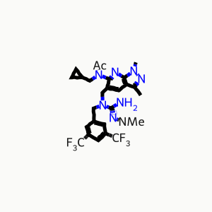 CN/N=C(\N)N(Cc1cc(C(F)(F)F)cc(C(F)(F)F)c1)Cc1cc2c(C)nn(C)c2nc1N(CC1CC1)C(C)=O